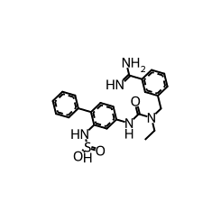 CCN(Cc1cccc(C(=N)N)c1)C(=O)Nc1ccc(-c2ccccc2)c(N[SH](=O)=O)c1